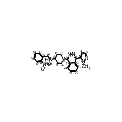 Cn1nccc1-c1nnc(N2CCC(NCc3ccccc3[N+](=O)[O-])CC2)c2ccccc12